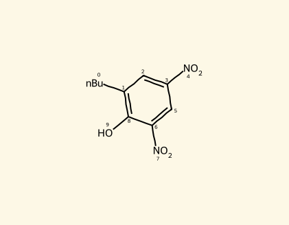 CCCCc1cc([N+](=O)[O-])cc([N+](=O)[O-])c1O